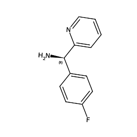 N[C@H](c1ccc(F)cc1)c1ccccn1